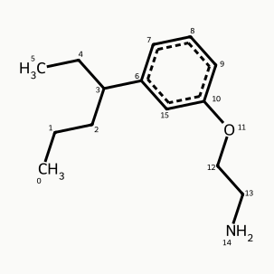 CCCC(CC)c1cccc(OCCN)c1